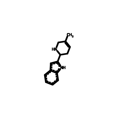 CC1=CCC(c2cc3ccccc3[nH]2)NC1